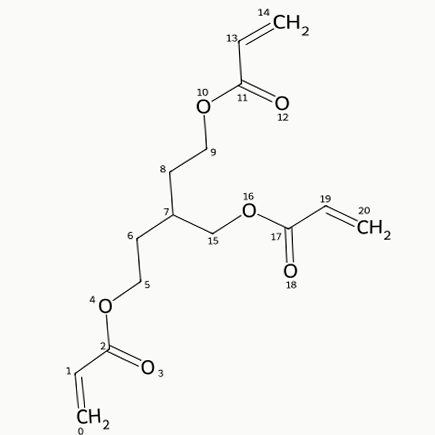 C=CC(=O)OCCC(CCOC(=O)C=C)COC(=O)C=C